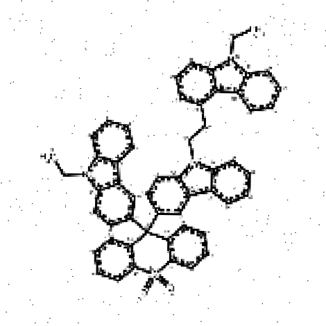 CCn1c2ccccc2c2cc(C3(c4ccc5c(c4)c4ccccc4n5CCc4cccc5c4c4ccccc4n5CC)c4ccccc4S(=O)(=O)c4ccccc43)ccc21